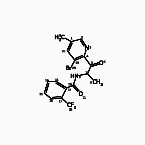 Cc1cnc(C(=O)C(C)NC(=O)c2ccccc2C(F)(F)F)c(Br)c1